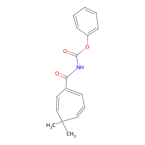 CC1(C)C=CC=C(C(=O)NC(=O)Oc2ccccc2)C=C1